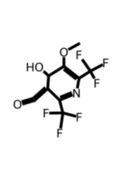 COC1=C(C(F)(F)F)N=C(C(F)(F)F)C(=C=O)C1O